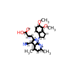 COc1ccc2c(c1OC)CCC2n1c(/C=C/C(=O)O)c(C#N)c2c(C)cc(C)nc21